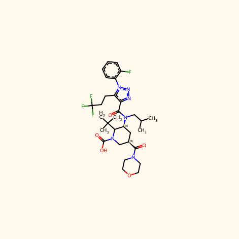 CC(C)CN(C(=O)c1nnn(-c2ccccc2F)c1CCC(F)(F)F)[C@H]1C[C@@H](C(=O)N2CCOCC2)CN(C(=O)O)C1C(C)(C)C